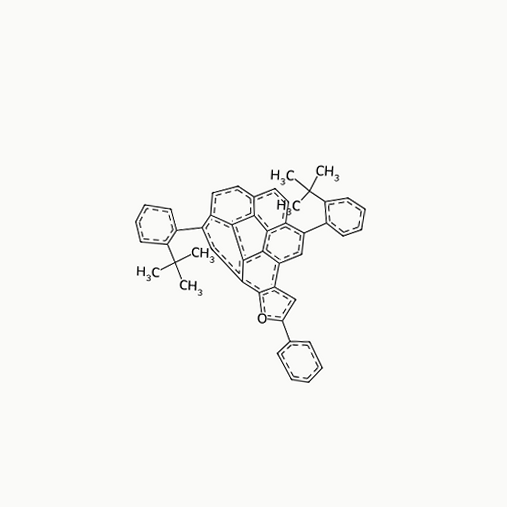 CC(C)(C)c1ccccc1-c1cc2c3cc(-c4ccccc4)oc3c3cc(-c4ccccc4C(C)(C)C)c4ccc5ccc1c1c5c4c3c21